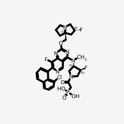 CN(c1nc(OC[C@@]23CCCN2C[C@H](F)C3)nc2c(F)c(-c3cccc4cccc(Cl)c34)ncc12)[C@H]1CN(C(=O)CP(=O)(O)O)C[C@@H]1F